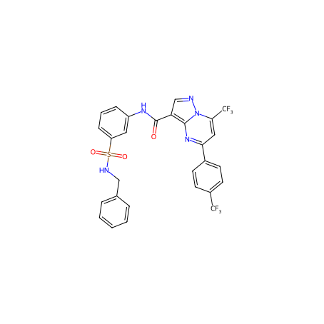 O=C(Nc1cccc(S(=O)(=O)NCc2ccccc2)c1)c1cnn2c(C(F)(F)F)cc(-c3ccc(C(F)(F)F)cc3)nc12